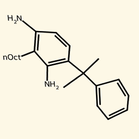 CCCCCCCCc1c(N)ccc(C(C)(C)c2ccccc2)c1N